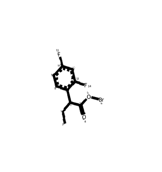 CCC(C(=O)OBr)c1ccc(F)cc1F